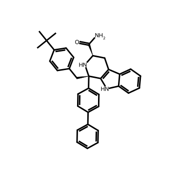 CC(C)(C)c1ccc(C[C@@]2(c3ccc(-c4ccccc4)cc3)N[C@@H](C(N)=O)Cc3c2[nH]c2ccccc32)cc1